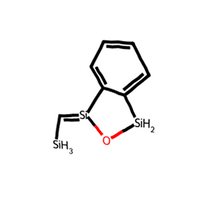 [SiH3]C=[Si]1O[SiH2]c2ccccc21